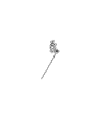 CCCCCCCCCCCCCCCCCCSSCCOP(=O)(OC)OC1OC(n2ccc(=O)[nH]c2=O)[C@H](OC(C)=O)[C@H]1OC(C)=O